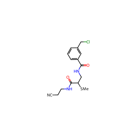 CSC(CNC(=O)c1cccc(CCl)c1)C(=O)NCCC#N